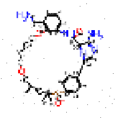 CC1COCCCCOc2c(CN)cccc2NC(=O)c2nc(cnc2N)-c2ccc(cc2)[S+]([O-])C(C)(C)C1